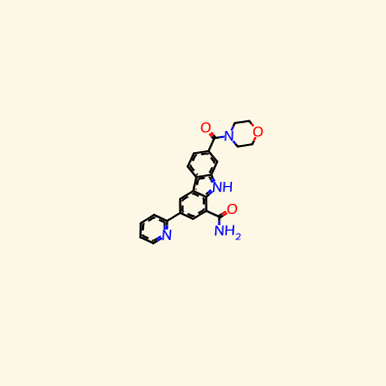 NC(=O)c1cc(-c2ccccn2)cc2c1[nH]c1cc(C(=O)N3CCOCC3)ccc12